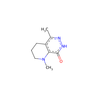 Cc1n[nH]c(=O)c2c1CCCN2C